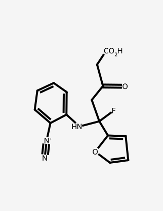 N#[N+]c1ccccc1NC(F)(CC(=O)CC(=O)O)c1ccco1